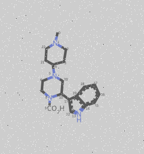 CN1CCC(N2CCN(C(=O)O)C(c3c[nH]c4ccccc34)C2)CC1